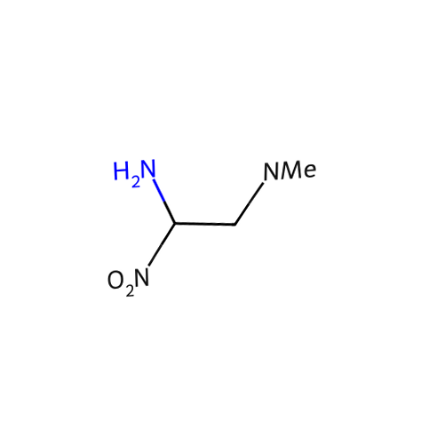 CNCC(N)[N+](=O)[O-]